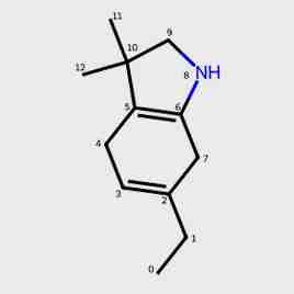 CCC1=CCC2=C(C1)NCC2(C)C